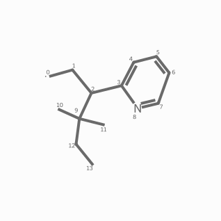 [CH2]CC(c1ccccn1)C(C)(C)CC